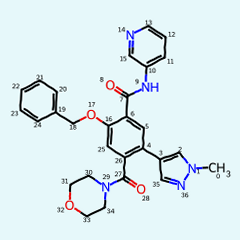 Cn1cc(-c2cc(C(=O)Nc3cccnc3)c(OCc3ccccc3)cc2C(=O)N2CCOCC2)cn1